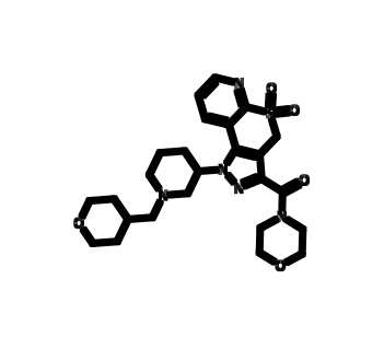 O=C(c1nn(C2CCCN(CC3CCOCC3)C2)c2c1CS(=O)(=O)c1ncccc1-2)N1CCOCC1